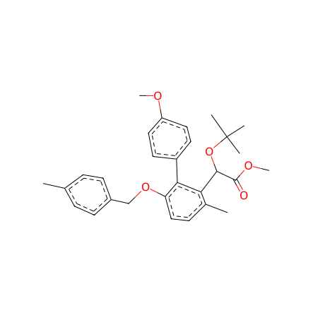 COC(=O)C(OC(C)(C)C)c1c(C)ccc(OCc2ccc(C)cc2)c1-c1ccc(OC)cc1